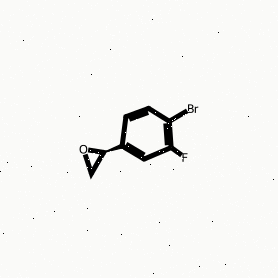 Fc1cc([C@H]2CO2)ccc1Br